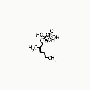 CCCC=C(C)COP(=O)(O)OP(=O)(O)O